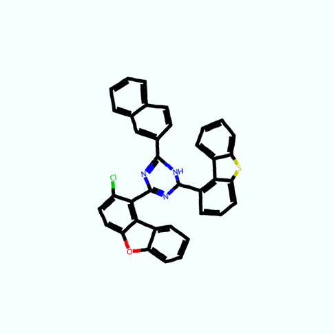 Clc1ccc2oc3ccccc3c2c1C1=NC(c2cccc3sc4ccccc4c23)NC(c2ccc3ccccc3c2)=N1